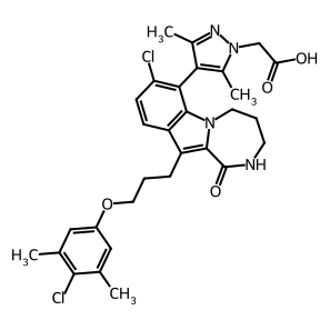 Cc1cc(OCCCc2c3n(c4c(-c5c(C)nn(CC(=O)O)c5C)c(Cl)ccc24)CCCNC3=O)cc(C)c1Cl